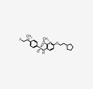 COc1nc(OCCN2CCCC2)ccc1NS(=O)(=O)c1ccc([C@@H](C)CF)cc1